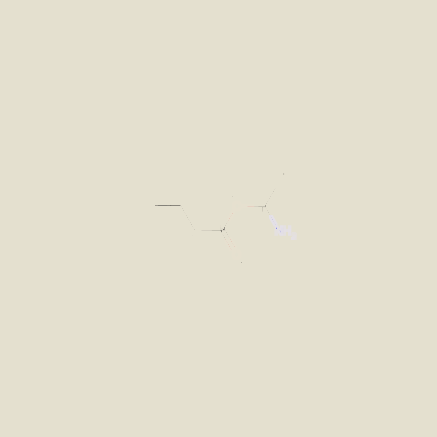 CCC(C)CCC(=O)OC(N)CC